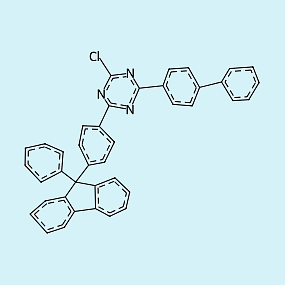 Clc1nc(-c2ccc(-c3ccccc3)cc2)nc(-c2ccc(C3(c4ccccc4)c4ccccc4-c4ccccc43)cc2)n1